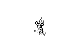 CC(C)(CN)c1ncc(-c2ccc3nc4n(c3c2)[C@@H](c2ccccc2OC(F)F)C[C@H]4F)cn1